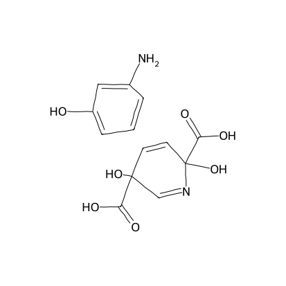 Nc1cccc(O)c1.O=C(O)C1(O)C=CC(O)(C(=O)O)N=C1